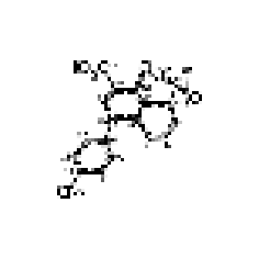 CS(=O)(=O)c1cccc2c1c(=O)c(C(=O)O)nn2-c1ccc(Cl)cc1